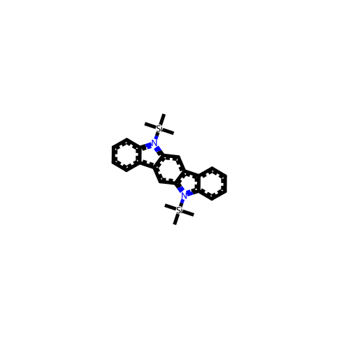 C[Si](C)(C)n1c2ccccc2c2cc3c(cc21)c1ccccc1n3[Si](C)(C)C